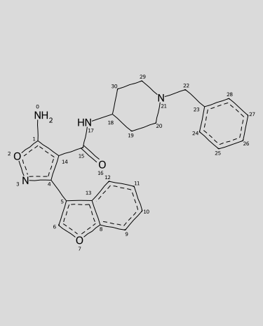 Nc1onc(-c2coc3ccccc23)c1C(=O)NC1CCN(Cc2ccccc2)CC1